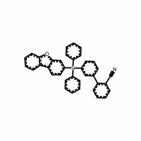 N#Cc1ccccc1-c1cccc([Si](c2ccccc2)(c2ccccc2)c2ccc3c(c2)oc2ccccc23)c1